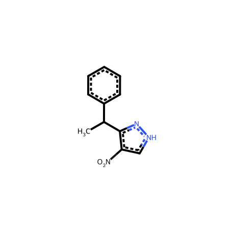 CC(c1ccccc1)c1n[nH]cc1[N+](=O)[O-]